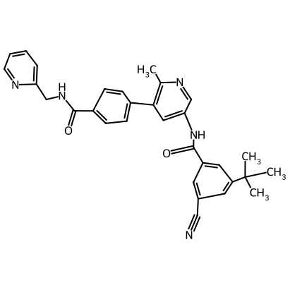 Cc1ncc(NC(=O)c2cc(C#N)cc(C(C)(C)C)c2)cc1-c1ccc(C(=O)NCc2ccccn2)cc1